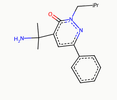 CC(C)Cn1nc(-c2ccccc2)cc(C(C)(C)N)c1=O